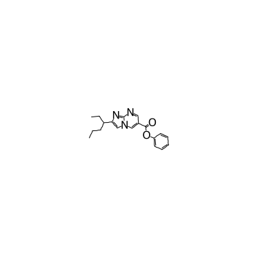 CCCC(CC)c1cn2cc(C(=O)Oc3ccccc3)cnc2n1